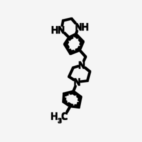 Cc1ccc(N2CCN(Cc3ccc4c(c3)NCCN4)CC2)cc1